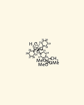 C=C[Si](OC)(OC)OC.C=C[Si](Oc1ccccc1)(Oc1ccccc1)Oc1ccccc1